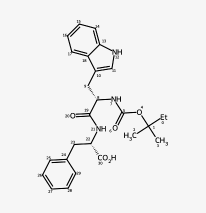 CCC(C)(C)OC(=O)N[C@@H](Cc1c[nH]c2ccccc12)C(=O)N[C@@H](Cc1ccccc1)C(=O)O